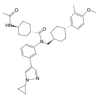 COc1ccc([C@H]2CC[C@H](CN(c3cccc(-c4cnn(C5CC5)c4)c3)C(=O)[C@H]3CC[C@H](NC(C)=O)CC3)CC2)cc1C